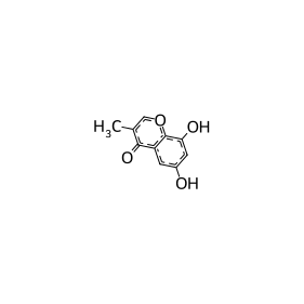 Cc1coc2c(O)cc(O)cc2c1=O